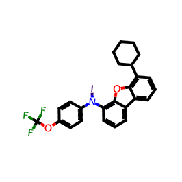 FC(F)(F)Oc1ccc(N(I)c2cccc3c2oc2c(C4CCCCC4)cccc23)cc1